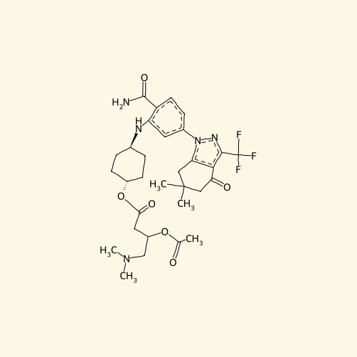 CC(=O)OC(CC(=O)O[C@H]1CC[C@H](Nc2cc(-n3nc(C(F)(F)F)c4c3CC(C)(C)CC4=O)ccc2C(N)=O)CC1)CN(C)C